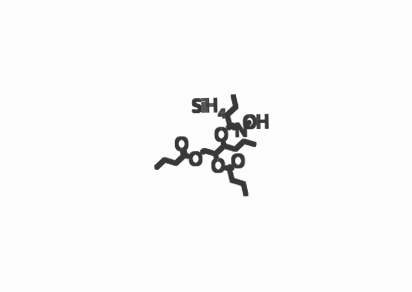 CCCC(=O)OCC(OC(=O)CCC)C(CCC)OC(CCC)=NO.[SiH4]